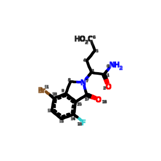 NC(=O)C(CCC(=O)O)N1Cc2c(Br)ccc(F)c2C1=O